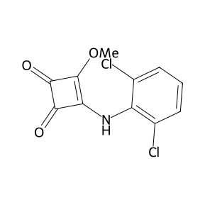 COc1c(Nc2c(Cl)cccc2Cl)c(=O)c1=O